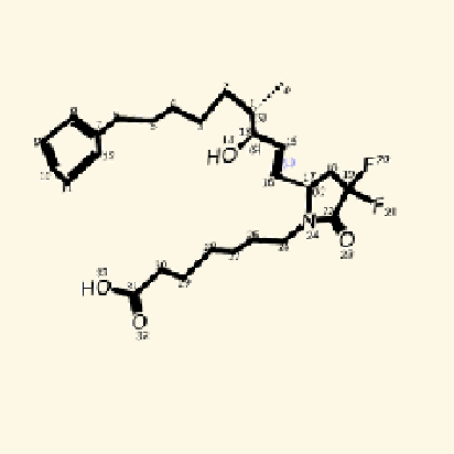 C[C@@H](CCCCCc1ccccc1)[C@H](O)/C=C/[C@H]1CC(F)(F)C(=O)N1CCCCCCC(=O)O